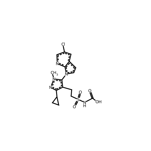 Cn1nc(C2CC2)c(CCS(=O)(=O)NC(=O)O)c1-n1ccc2cc(Cl)cnc21